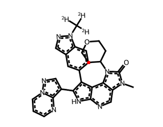 [2H]C([2H])([2H])n1ncc2cc(-c3c(-c4cnn5cccnc45)[nH]c4ncc5c(c34)n(C3CCOCC3)c(=O)n5C)ccc21